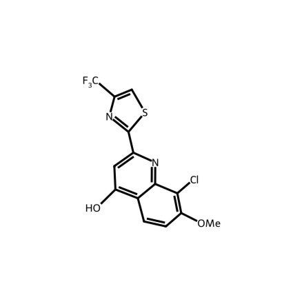 COc1ccc2c(O)cc(-c3nc(C(F)(F)F)cs3)nc2c1Cl